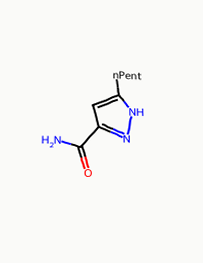 CCCCCc1cc(C(N)=O)n[nH]1